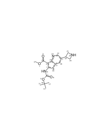 COC(=O)c1c(NC(=O)OC(C)(C)C)sc2cc(C3CNC3)cnc12